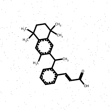 Cc1cc2c(cc1C(C)c1ccccc1C=CC(=O)O)C(C)(C)CCC2(C)C